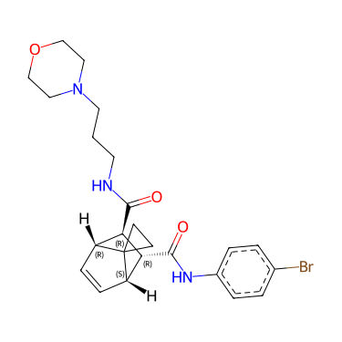 O=C(NCCCN1CCOCC1)[C@H]1[C@H](C(=O)Nc2ccc(Br)cc2)[C@@H]2C=C[C@H]1C21CC1